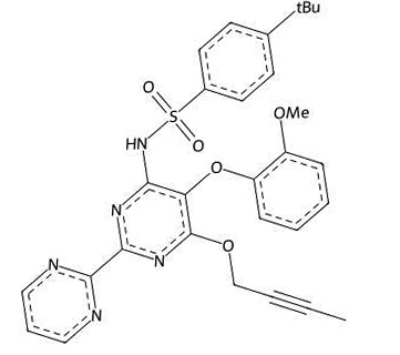 CC#CCOc1nc(-c2ncccn2)nc(NS(=O)(=O)c2ccc(C(C)(C)C)cc2)c1Oc1ccccc1OC